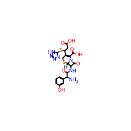 NC(C(=O)NC1C(=O)N2C(C(=O)O)=C(C(CC(=O)O)Sc3nnn[nH]3)CS[C@@H]12)c1cccc(O)c1